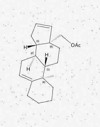 CC(=O)OC[C@@]12C=CC[C@H]1[C@@H]1CC=C3CCCC[C@]3(C)[C@H]1CC2